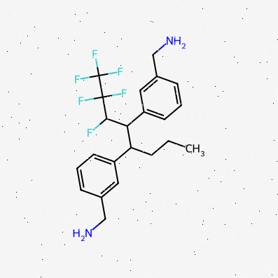 CCCC(c1cccc(CN)c1)C(c1cccc(CN)c1)C(F)C(F)(F)C(F)(F)F